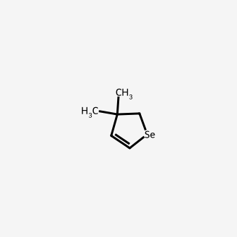 CC1(C)C=C[Se]C1